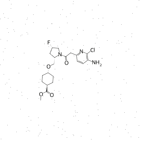 COC(=O)[C@H]1CC[C@H](OC[C@@H]2C[C@H](F)CN2C(=O)Cc2ccc(N)c(Cl)n2)CC1